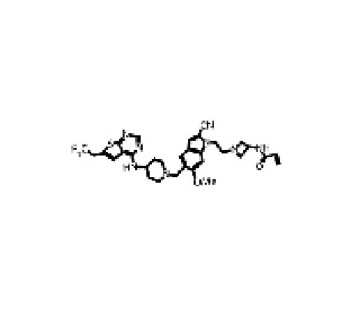 C=CC(=O)NC1CN(CCn2c(C#N)cc3cc(CN4CCC(Nc5ncnc6sc(CC(F)(F)F)cc56)CC4)c(OC)cc32)C1